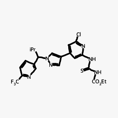 CCOC(=O)NC(=S)Nc1cc(-c2cnn(C(c3ccc(C(F)(F)F)nc3)C(C)C)c2)cc(Cl)n1